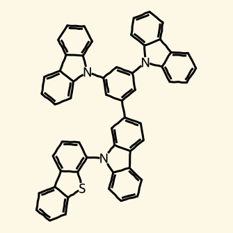 c1ccc2c(c1)sc1c(-n3c4ccccc4c4ccc(-c5cc(-n6c7ccccc7c7ccccc76)cc(-n6c7ccccc7c7ccccc76)c5)cc43)cccc12